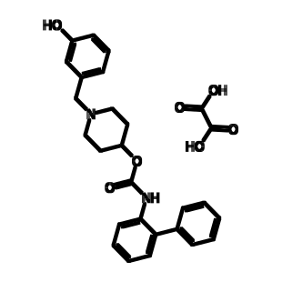 O=C(Nc1ccccc1-c1ccccc1)OC1CCN(Cc2cccc(O)c2)CC1.O=C(O)C(=O)O